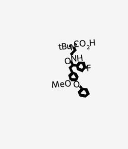 COc1cc(CC(C(=O)NCCN(C(=O)O)C(C)(C)C)c2ccc(F)cc2)ccc1OCc1ccccc1